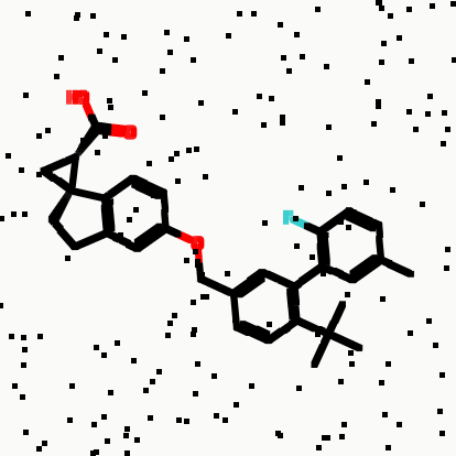 Cc1ccc(F)c(-c2cc(COc3ccc4c(c3)CC[C@]43C[C@H]3C(=O)O)ccc2C(C)(C)C)c1